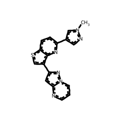 Cn1cc(-c2ccc3scc(-c4cc5ncccn5n4)c3n2)cn1